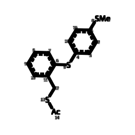 CSc1ccc(Sc2ccccc2CSC(C)=O)cc1